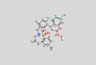 CCOC(=O)CC(c1ccc(C)c(CN2CC(C)Cc3cc(Br)ccc3S2(O)O)c1)c1ccc(F)cc1F